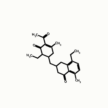 CCc1ccc(C)c2c1CC(CC1CC(C)=C(C(C)=O)C(=O)C1CC)CC2=O